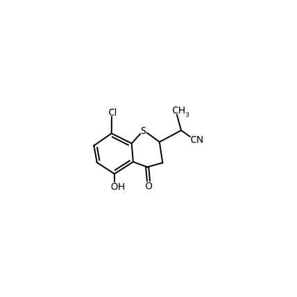 CC(C#N)C1CC(=O)c2c(O)ccc(Cl)c2S1